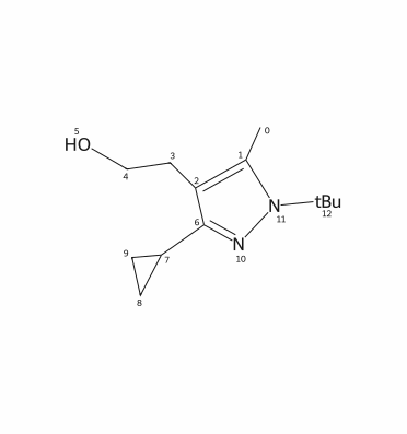 Cc1c(CCO)c(C2CC2)nn1C(C)(C)C